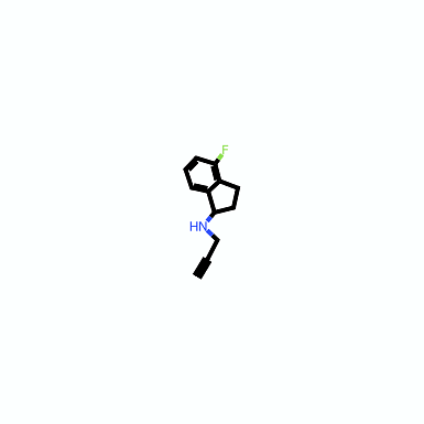 C#CCNC1CCc2c(F)cccc21